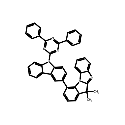 CC1(C)c2cccc(-c3ccc4c(c3)c3ccccc3n4-c3nc(-c4ccccc4)nc(-c4ccccc4)n3)c2-n2c1nc1ccccc12